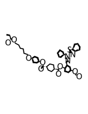 C=CC(=O)OCCCCCCOc1ccc(OC(=O)[C@H]2CC[C@H](C(=O)Oc3ccc(OC=O)cc3/C=N/N(c3ccccc3)c3nc4ccccc4s3)CC2)cc1